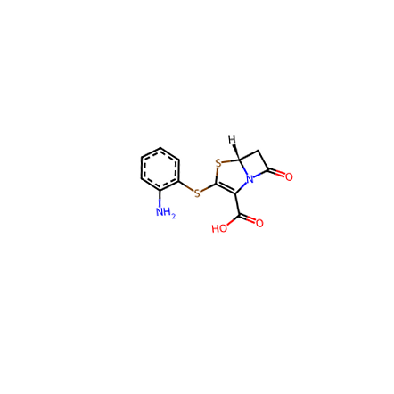 Nc1ccccc1SC1=C(C(=O)O)N2C(=O)C[C@H]2S1